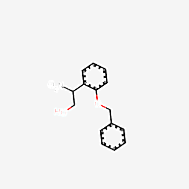 O=[N+]([O-])C(CO)c1ccccc1OCc1ccccc1